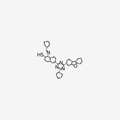 Sc1ccc2cc(-c3nc(-c4ccccc4)nc(-c4ccc5c(c4)oc4ccccc45)n3)ccc2c1/N=C/c1ccccc1